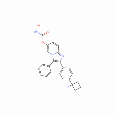 NC1(c2ccc(-c3nc4ccc(OC(=O)NO)cn4c3-c3ccccc3)cc2)CCC1